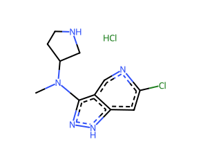 CN(c1n[nH]c2cc(Cl)ncc12)C1CCNC1.Cl